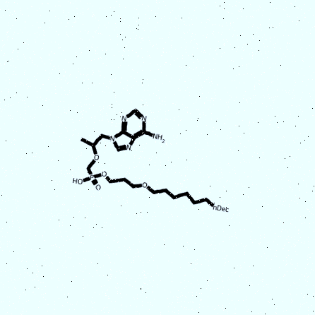 CCCCCCCCCCCCCCCCOCCCOP(=O)(O)COC(C)Cn1cnc2c(N)ncnc21